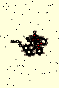 COCOc1cc(-c2nc(Oc3ccccc3)c3c(N4C5COCC4CN(C(=O)OC(C)(C)C)C5)nc(=O)[nH]c3c2F)c2c(C#C[Si](C(C)C)(C(C)C)C(C)C)c(F)ccc2c1